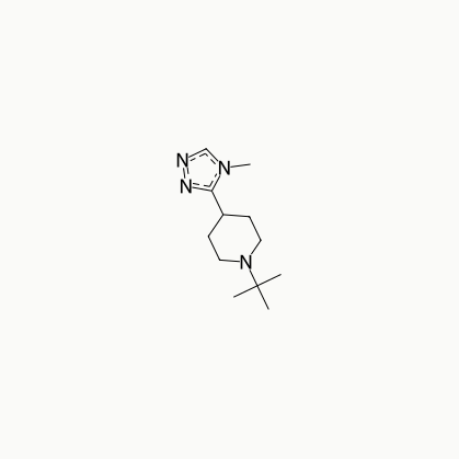 Cn1cnnc1C1CCN(C(C)(C)C)CC1